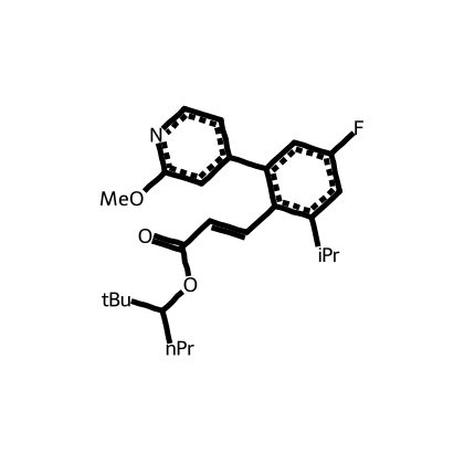 CCCC(OC(=O)C=Cc1c(-c2ccnc(OC)c2)cc(F)cc1C(C)C)C(C)(C)C